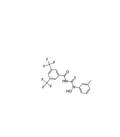 Cc1cccc(N(O)C(=S)NC(=O)c2cc(C(F)(F)F)cc(C(F)(F)F)c2)c1